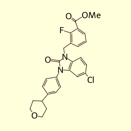 COC(=O)c1cccc(Cn2c(=O)n(-c3ccc(C4CCOCC4)cc3)c3cc(Cl)ccc32)c1F